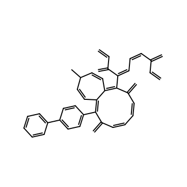 C=CC(=C)/C=C\C=C(/C(=C)C=C)c1c2c(c(-c3ccc(-c4ccccc4)cc3)c(=C)ccccc1=C)C=CC(C)C=C2